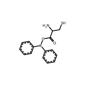 NC(CS)C(=O)OB(c1ccccc1)c1ccccc1